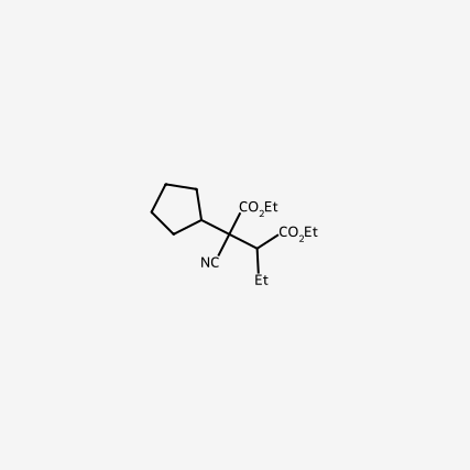 CCOC(=O)C(CC)C(C#N)(C(=O)OCC)C1CCCC1